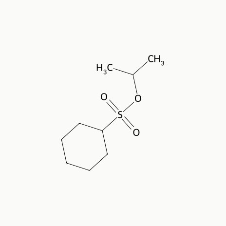 CC(C)OS(=O)(=O)C1CCCCC1